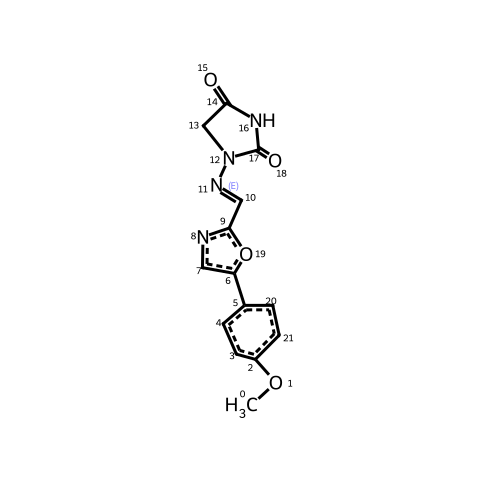 COc1ccc(-c2cnc(/C=N/N3CC(=O)NC3=O)o2)cc1